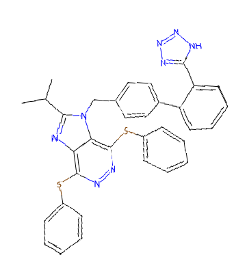 CC(C)c1nc2c(Sc3ccccc3)nnc(Sc3ccccc3)c2n1Cc1ccc(-c2ccccc2-c2nnn[nH]2)cc1